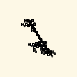 COC(C(=O)O)C(=O)NCCCCCCCCN/C(=N/C(=O)OC(C)(C)C)NC(=O)OC(C)(C)C